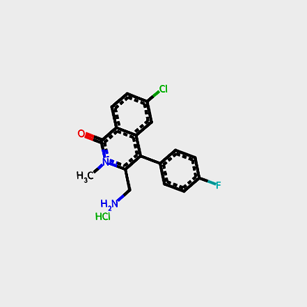 Cl.Cn1c(CN)c(-c2ccc(F)cc2)c2cc(Cl)ccc2c1=O